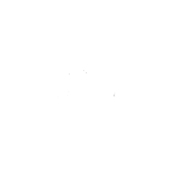 CCCCCCCC(=O)S.[NaH]